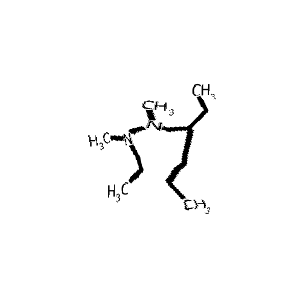 CCCC(CC)N(C)N(C)CC